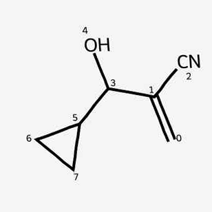 C=C(C#N)C(O)C1CC1